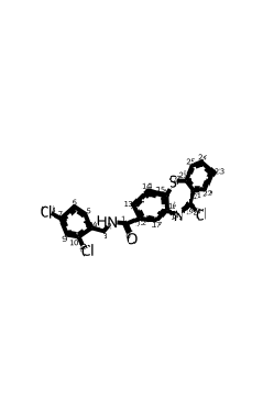 O=C(NCc1ccc(Cl)cc1Cl)c1ccc2c(c1)N=C(Cl)c1ccccc1S2